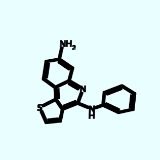 Nc1ccc2c(c1)nc(Nc1ccccc1)c1ccsc12